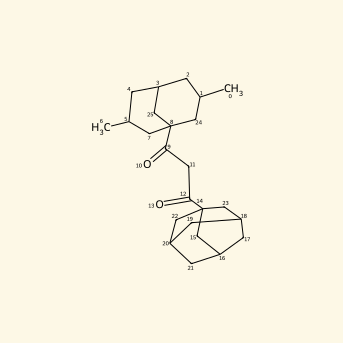 CC1CC2CC(C)CC(C(=O)CC(=O)C34CC5CC(CC(C5)C3)C4)(C1)C2